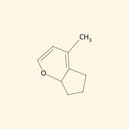 CC1=C2CCCC2OC=C1